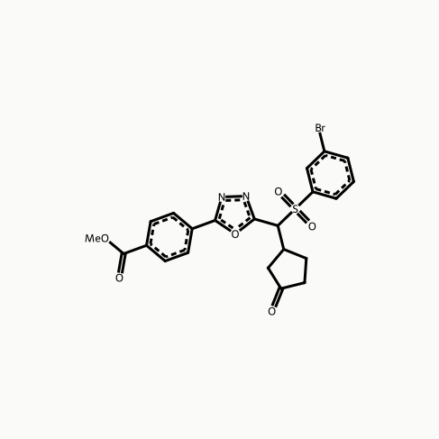 COC(=O)c1ccc(-c2nnc(C(C3CCC(=O)C3)S(=O)(=O)c3cccc(Br)c3)o2)cc1